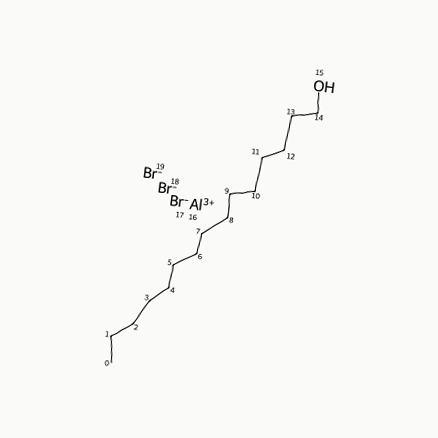 CCCCCCCCCCCCCCCO.[Al+3].[Br-].[Br-].[Br-]